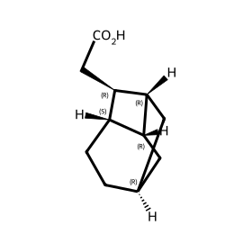 O=C(O)C[C@@H]1[C@H]2CC[C@@H]3C[C@H]2[C@H]1C3